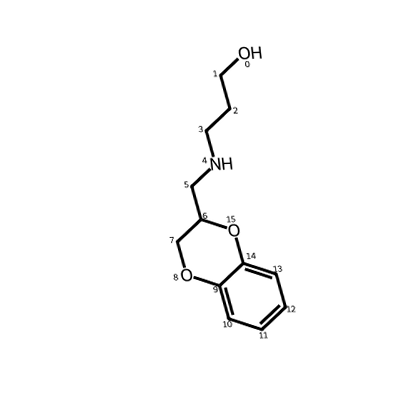 OCCCNCC1COc2ccccc2O1